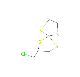 ClCC1CSC2(SCCS2)S1